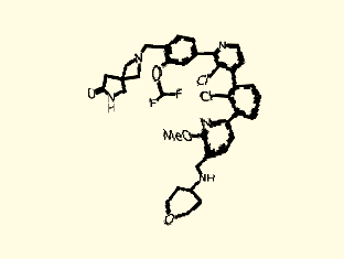 COc1nc(-c2cccc(-c3ccnc(-c4ccc(CN5CC6(CNC(=O)C6)C5)c(OC(F)F)c4)c3Cl)c2Cl)ccc1CNC1CCOCC1